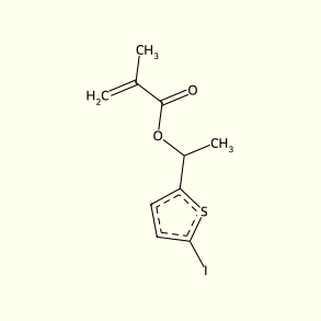 C=C(C)C(=O)OC(C)c1ccc(I)s1